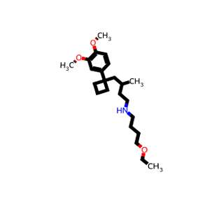 CCOCCCCNCCC(C)CC1(c2ccc(OC)c(OC)c2)CCC1